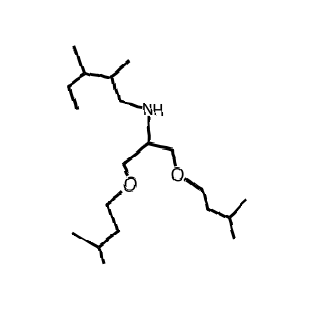 CCC(C)C(C)CNC(COCCC(C)C)COCCC(C)C